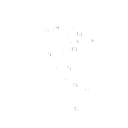 CC1(S(=O)(=O)NC(=O)[C@@]23C[C@H]2/C=C\CCCCC[C@H](NC(=O)c2ccns2)C(=O)N2C[C@H](Oc4nc5cc(OC(F)(F)F)ccc5c5ccccc45)C[C@H]2C(=O)N3)CC1